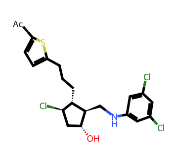 CC(=O)c1ccc(CCC[C@@H]2[C@@H](CNc3cc(Cl)cc(Cl)c3)[C@H](O)C[C@H]2Cl)s1